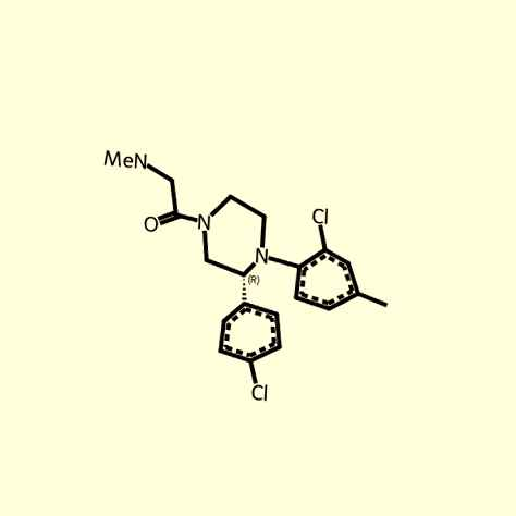 CNCC(=O)N1CCN(c2ccc(C)cc2Cl)[C@H](c2ccc(Cl)cc2)C1